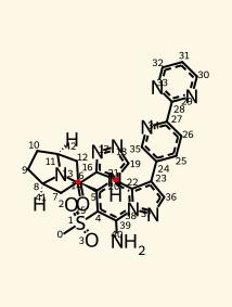 CS(=O)(=O)c1c([C@H]2C[C@H]3CC[C@@H](C2)N3C(=O)c2nnc[nH]2)nc2c(-c3ccc(-c4ncccn4)nc3)cnn2c1N